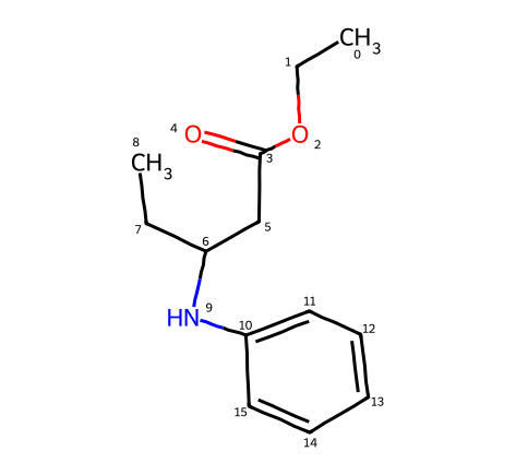 CCOC(=O)CC(CC)Nc1ccccc1